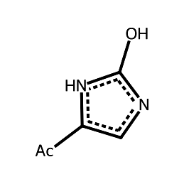 CC(=O)c1cnc(O)[nH]1